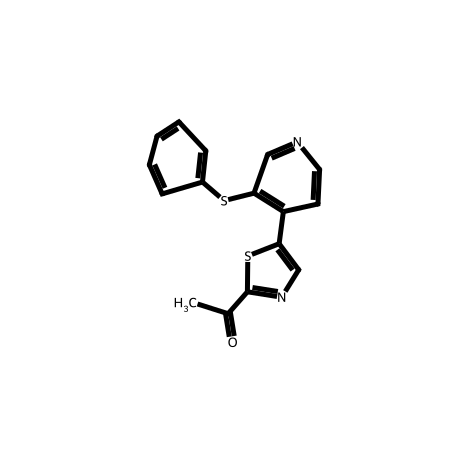 CC(=O)c1ncc(-c2ccncc2Sc2ccccc2)s1